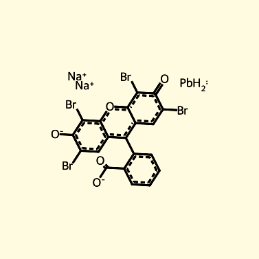 O=C([O-])c1ccccc1-c1c2cc(Br)c(=O)c(Br)c-2oc2c(Br)c([O-])c(Br)cc12.[Na+].[Na+].[PbH2]